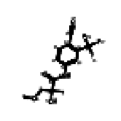 COCC(C)(O)C(=O)Nc1ccc(C#N)c(C(F)(F)F)c1